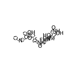 COc1c(CNC[C@H](O)c2ccc(O)c3[nH]c(=O)ccc23)ccc(C(=O)NCc2ccc(-c3cccc([C@](O)(C(=O)OCC4CCN(Cc5ccccc5)CC4)c4ccccc4)c3)s2)c1F